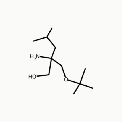 CC(C)CC(N)(CO)COC(C)(C)C